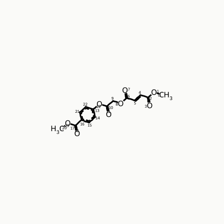 COC(=O)C=CC(=O)OCC(=O)Oc1ccc(C(=O)OC)cc1